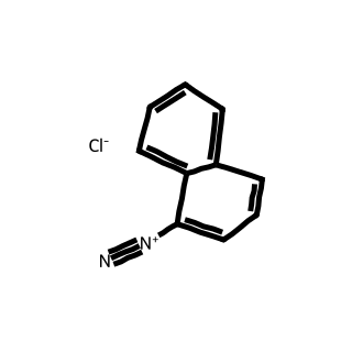 N#[N+]c1cccc2ccccc12.[Cl-]